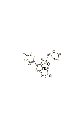 Cc1ccc(-c2nc3ccc(C)cn3c2CC(=O)CC2CC=CS2)cc1